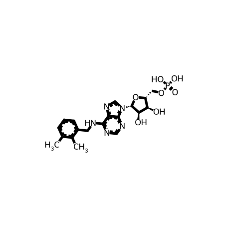 Cc1cccc(CNc2ncnc3c2ncn3[C@@H]2O[C@H](COP(=O)(O)O)[C@@H](O)[C@H]2O)c1C